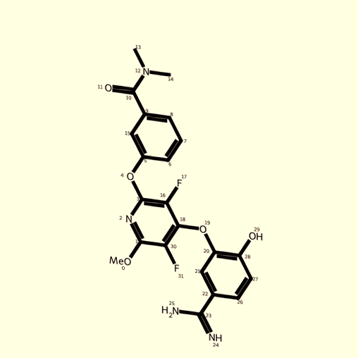 COc1nc(Oc2cccc(C(=O)N(C)C)c2)c(F)c(Oc2cc(C(=N)N)ccc2O)c1F